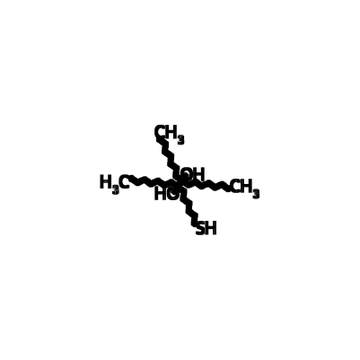 CCCCCCCCC(O)(CCCCCCS)C(O)(CCCCCCCC)CCCCCCCC